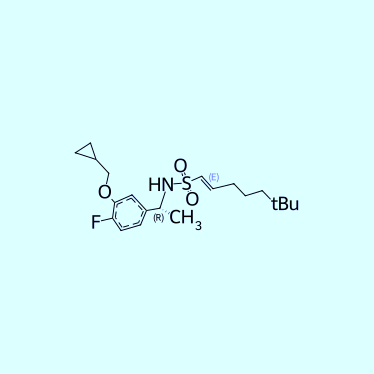 C[C@@H](NS(=O)(=O)/C=C/CCCC(C)(C)C)c1ccc(F)c(OCC2CC2)c1